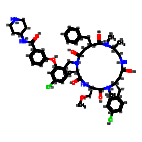 COC[C@@H]1NC(=O)[C@H](C)N(Cc2ccc(Cl)cc2Oc2cccc(C(=O)NC3CCNCC3)c2)C(=O)C[C@@H](Cc2ccccc2)C(=O)N(C)[C@@H](C)CNC(=O)C[C@H](Cc2ccc(Cl)cc2)N(C)C1=O